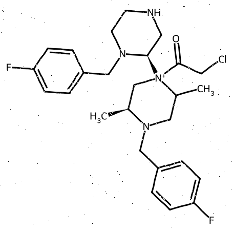 CC1CN(Cc2ccc(F)cc2)[C@@H](C)C[N+]1(C(=O)CCl)[C@@H]1CNCCN1Cc1ccc(F)cc1